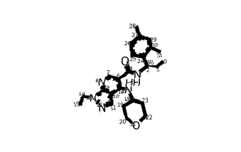 CC[C@@H](NC(=O)c1cnc2c(cnn2CC)c1NC1CCOCC1)c1ccc(C)cc1C